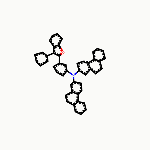 c1ccc(-c2c(-c3cccc(N(c4ccc5c(ccc6ccccc65)c4)c4ccc5c(ccc6ccccc65)c4)c3)oc3ccccc23)cc1